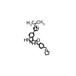 CC(C)n1cc(-c2ccc3[nH]nc(C(=O)Nc4ccc(CN5CCCC5)cc4)c3c2)cn1